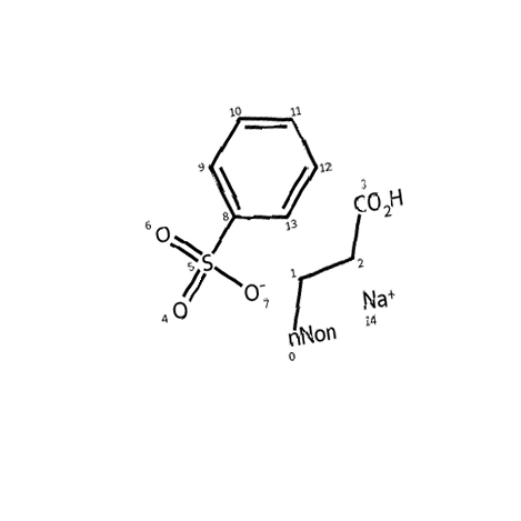 CCCCCCCCCCCC(=O)O.O=S(=O)([O-])c1ccccc1.[Na+]